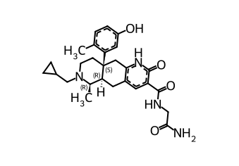 Cc1ccc(O)cc1[C@]12CCN(CC3CC3)[C@H](C)[C@@H]1Cc1cc(C(=O)NCC(N)=O)c(=O)[nH]c1C2